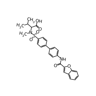 CC(C)C(C(=O)O)N(C)S(=O)(=O)c1ccc(-c2ccc(NC(=O)c3cc4ccccc4o3)cc2)cc1